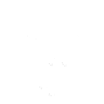 CC(=O)O.COc1cc([C@@H](Nc2ccc(C(=N)N)cc2)C(=O)Nc2ccccc2)ccc1OCc1ccccc1